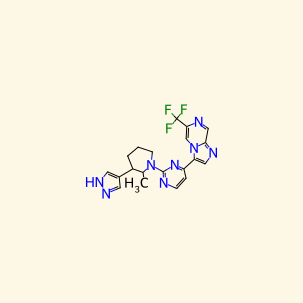 CC1C(c2cn[nH]c2)CCCN1c1nccc(-c2cnc3cnc(C(F)(F)F)cn23)n1